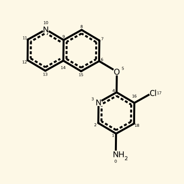 Nc1cnc(Oc2ccc3ncccc3c2)c(Cl)c1